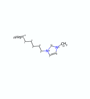 CCCCCCCCCCCCN1C=CN(C)C1